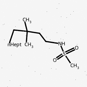 CCCCCCCCC(C)(C)CCNS(C)(=O)=O